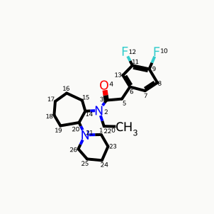 CCN(C(=O)Cc1ccc(F)c(F)c1)C1CCCCCC1N1CCCCC1